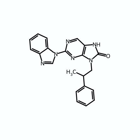 CC(Cn1c(=O)[nH]c2cnc(-n3cnc4ccccc43)nc21)c1ccccc1